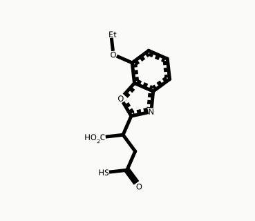 CCOc1cccc2nc(C(CC(=O)S)C(=O)O)oc12